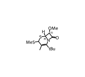 CO[C@H]1C(=O)N2C(C(C)(C)C)=C(C)C(SC)S[C@H]12